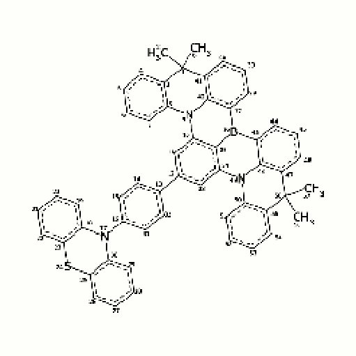 CC1(C)c2ccccc2N2c3cc(-c4ccc(N5c6ccccc6Sc6ccccc65)cc4)cc4c3B(c3cccc1c32)c1cccc2c1N4c1ccccc1C2(C)C